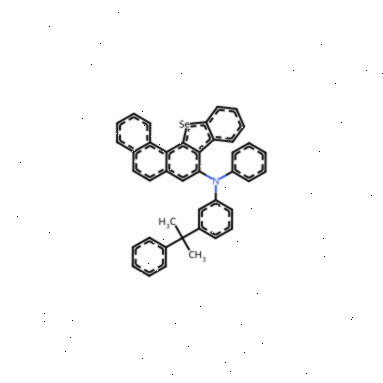 CC(C)(c1ccccc1)c1cccc(N(c2ccccc2)c2cc3ccc4ccccc4c3c3[se]c4ccccc4c23)c1